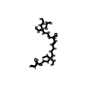 C=CC(=O)SCC[N+](CC)(CC)CCC/C=C/C(=O)SCC[N+](CC)(CCC)CCC